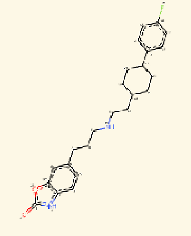 O=c1[nH]c2ccc(CCCNCCC3CCC(c4ccc(F)cc4)CC3)cc2o1